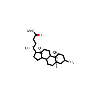 COC(=O)CC[C@@H](C)C1CCC2C3CC[C@@H]4CC(C)CC[C@]4(C)C3CC[C@@]21C